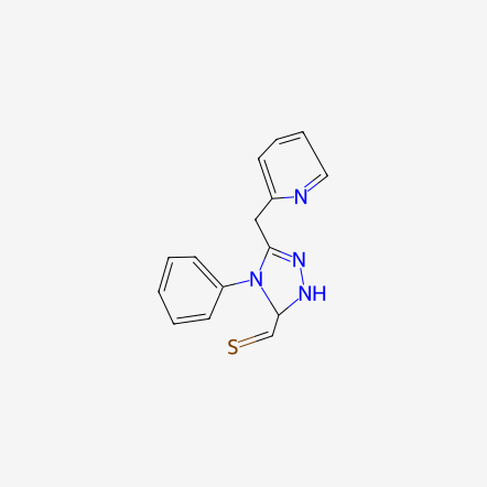 S=CC1NN=C(Cc2ccccn2)N1c1ccccc1